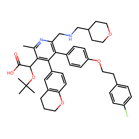 Cc1nc(CNCC2CCOCC2)c(-c2ccc(OCCc3ccc(F)cc3)cc2)c(-c2ccc3c(c2)CCCO3)c1C(OC(C)(C)C)C(=O)O